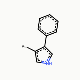 CC(=O)c1[c][nH]cc1-c1ccccc1